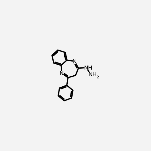 NNC1=Nc2ccccc2N=C(c2ccccc2)C1